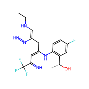 CCN/C=C(/C/C(=C/C(=N)C(F)(F)F)Nc1ccc(F)cc1[C@@H](C)O)N=N